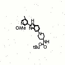 COc1ncc(C)cc1-c1nc2cc(N3CCC(NC(=O)OC(C)(C)C)CC3)ccc2[nH]1